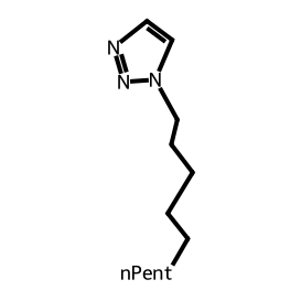 CCCCCCCCCCn1ccnn1